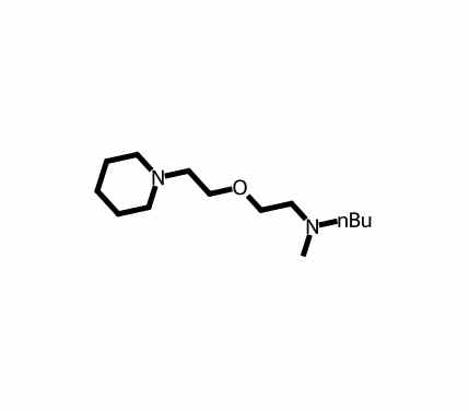 CCCCN(C)CCOCCN1CCCCC1